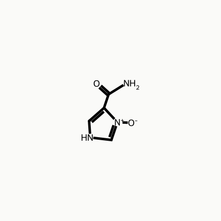 NC(=O)c1c[nH]c[n+]1[O-]